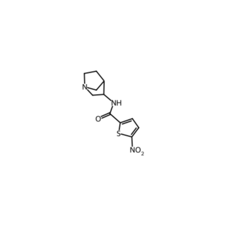 O=C(NC1CN2CCC1C2)c1ccc([N+](=O)[O-])s1